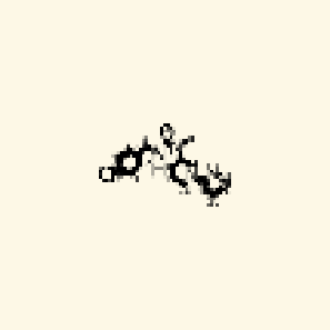 CN(C(=O)NCc1ccc(Cl)cc1)[C@@H]1CCCN(c2cccnn2)C1